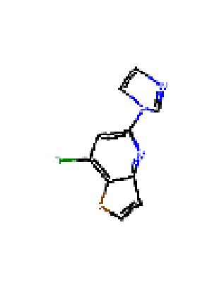 Clc1cc(-n2ccnc2)nc2ccsc12